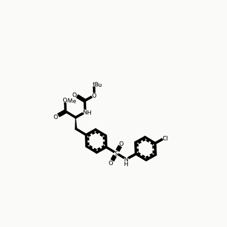 COC(=O)[C@H](Cc1ccc(S(=O)(=O)Nc2ccc(Cl)cc2)cc1)NC(=O)OC(C)(C)C